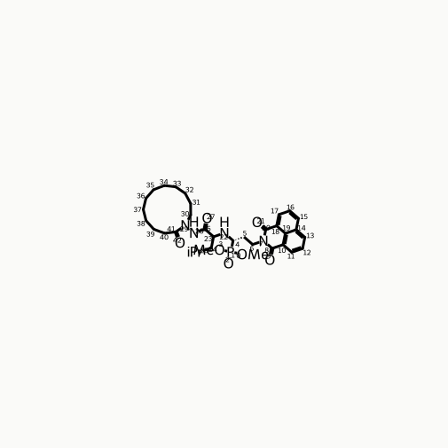 COP(=O)(OC)[C@@H](CCN1C(=O)c2cccc3cccc(c23)C1=O)NC(CC(C)C)C(=O)NN1CCCCCCCCCCCC1=O